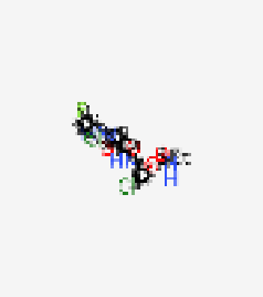 CCNC(=O)COc1ccc(Cl)cc1CNC(=O)Cc1c(C)ccn(NCc2cc(F)ccc2Cl)c1=O